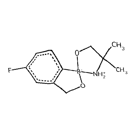 CC1(C)CO[B-]2([NH2+]1)OCc1cc(F)ccc12